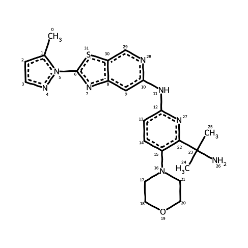 Cc1ccnn1-c1nc2cc(Nc3ccc(N4CCOCC4)c(C(C)(C)N)n3)ncc2s1